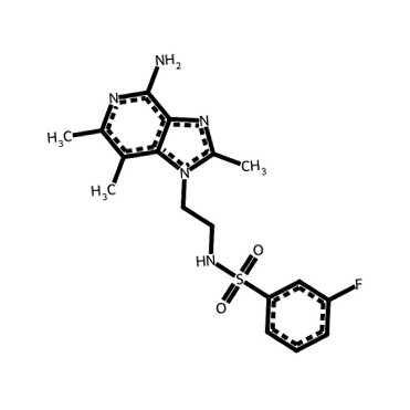 Cc1nc(N)c2nc(C)n(CCNS(=O)(=O)c3cccc(F)c3)c2c1C